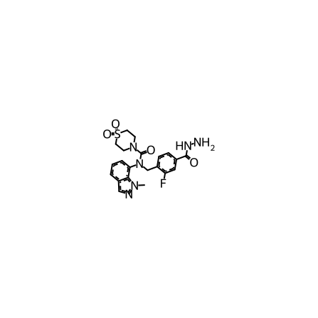 Cn1ncc2cccc(N(Cc3ccc(C(=O)NN)cc3F)C(=O)N3CCS(=O)(=O)CC3)c21